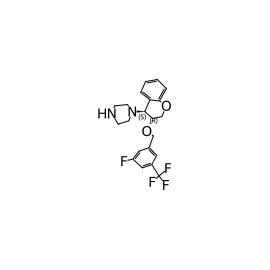 Fc1cc(CO[C@H]2COc3ccccc3[C@@H]2N2CCNCC2)cc(C(F)(F)F)c1